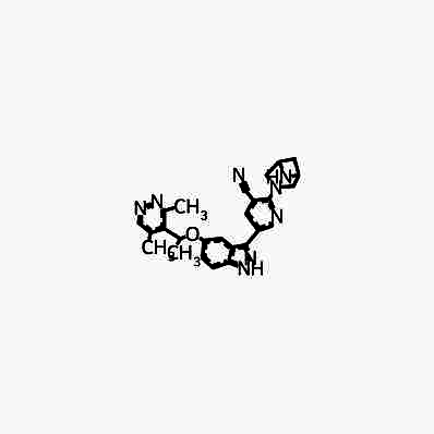 Cc1cnnc(C)c1C(C)Oc1ccc2[nH]nc(-c3cnc(N4CC5CC(C4)N5)c(C#N)c3)c2c1